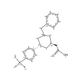 O=C(O)C[C@H]1C[C@H](c2ccc(C(F)(F)F)cc2)CN(Cc2ccccc2)C1